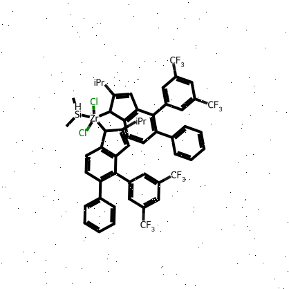 CC(C)C1=Cc2c(ccc(-c3ccccc3)c2-c2cc(C(F)(F)F)cc(C(F)(F)F)c2)[CH]1[Zr]([Cl])([Cl])([CH]1C(C(C)C)=Cc2c1ccc(-c1ccccc1)c2-c1cc(C(F)(F)F)cc(C(F)(F)F)c1)[SiH](C)C